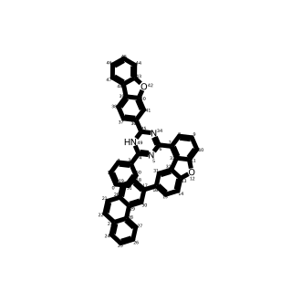 c1ccc(C2=NC(c3cccc4oc5ccc(-c6ccc7ccc8ccccc8c7c6)cc5c34)=NC(c3ccc4c(c3)oc3ccccc34)N2)cc1